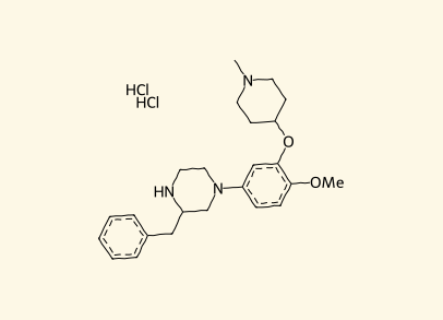 COc1ccc(N2CCNC(Cc3ccccc3)C2)cc1OC1CCN(C)CC1.Cl.Cl